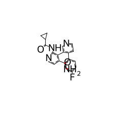 NC(=O)c1ccnc(NC(=O)C2CC2)c1-c1cnccc1-c1ccc(F)cc1